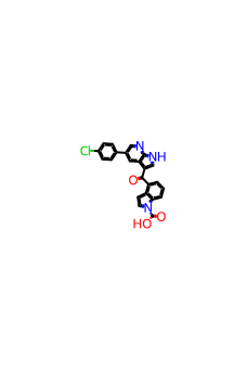 O=C(c1c[nH]c2ncc(-c3ccc(Cl)cc3)cc12)c1cccc2c1ccn2C(=O)O